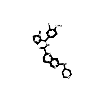 COc1ccc([C@H](NC(=O)c2ccc3cnc(NC4CCOCC4)cc3n2)c2cncn2C)cc1F